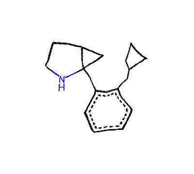 c1ccc(C23CC2CCN3)c(C2CC2)c1